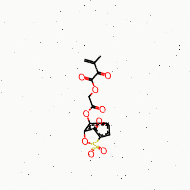 C=C(C)C(=O)C(=O)OCC(=O)Oc1c2c3oc1cc3S(=O)(=O)O2